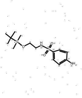 CC(C)(C)[Si](C)(C)OCCNS(=O)(=O)c1ccc(N)cc1